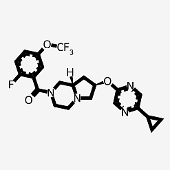 O=C(c1cc(OC(F)(F)F)ccc1F)N1CCN2C[C@H](Oc3cnc(C4CC4)cn3)C[C@H]2C1